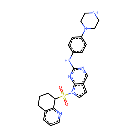 O=S(=O)(C1CCCc2cccnc21)n1ccc2cnc(Nc3ccc(N4CCNCC4)cc3)nc21